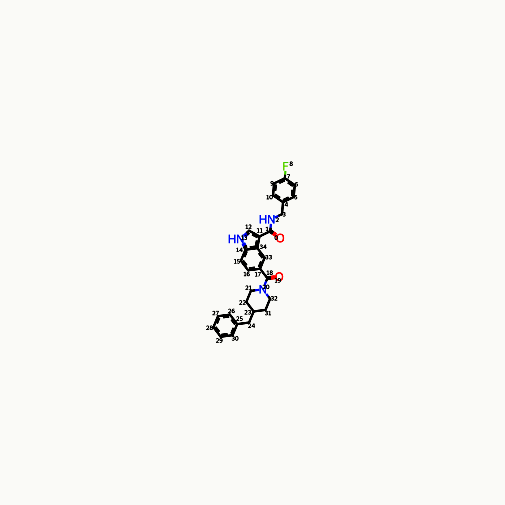 O=C(NCc1ccc(F)cc1)c1c[nH]c2ccc(C(=O)N3CCC(Cc4ccccc4)CC3)cc12